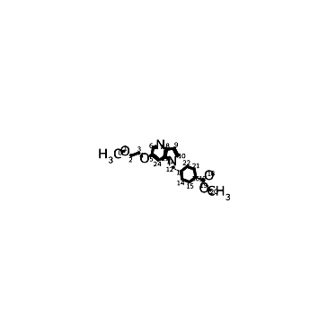 COCCOc1cnc2ccn(C[C@H]3CC[C@H](C(=O)OC)CC3)c2c1